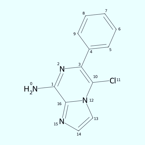 Nc1nc(-c2ccccc2)c(Cl)n2ccnc12